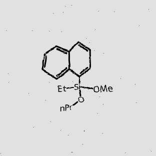 CCCO[Si](CC)(OC)c1cccc2ccccc12